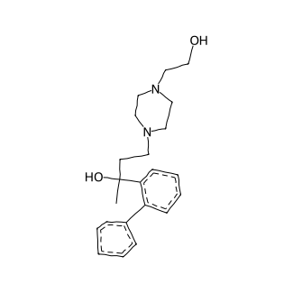 CC(O)(CCN1CCN(CCO)CC1)c1ccccc1-c1ccccc1